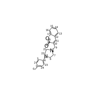 Cc1ccc(N2CCN(Cc3cc4ccccc4oc3=O)CC2)cc1